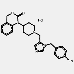 Cl.N#Cc1ccc(Cn2cncc2CN2CCC(N3C(=O)OCc4ccccc43)CC2)cc1